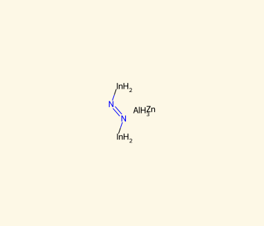 [AlH3].[InH2][N]=[N][InH2].[Zn]